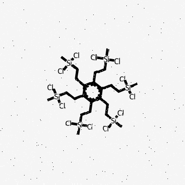 C[Si](Cl)(Cl)CCc1c(CC[Si](C)(Cl)Cl)c(CC[Si](C)(Cl)Cl)c(CC[Si](C)(Cl)Cl)c(CC[Si](C)(Cl)Cl)c1CC[Si](C)(Cl)Cl